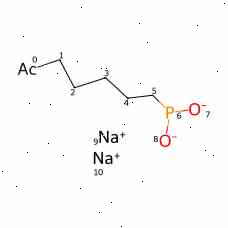 CC(=O)CCCCCP([O-])[O-].[Na+].[Na+]